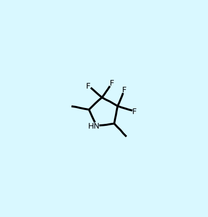 CC1NC(C)C(F)(F)C1(F)F